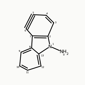 Nn1c2ccc#cc2c2ccccc21